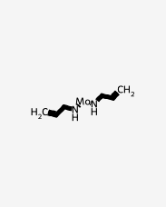 C=CC[NH][Mo][NH]CC=C